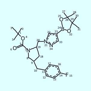 CC(C)(C)OC(=O)N1CC(Cc2ccc(F)cc2)CC1Cn1cc(B2OC(C)(C)C(C)(C)O2)cn1